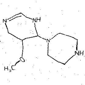 COC1CN=CNC1N1CCNCC1